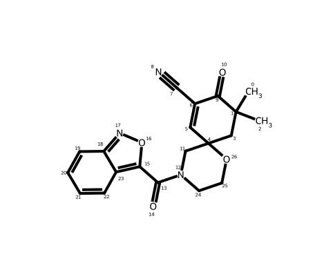 CC1(C)CC2(C=C(C#N)C1=O)CN(C(=O)c1onc3ccccc13)CCO2